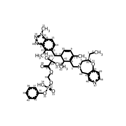 CC[C@@H]1CN(CC2=C(C)C=CC([C@@H](c3ccc4c(nnn4C)c3C)C(C)(C)C(=O)OCOP(=O)(O)Oc3ccccc3)C2C)Cc2cnccc2O1